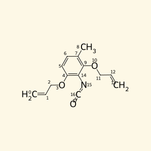 C=CCOc1ccc(C)c(OCC=C)c1N=C=O